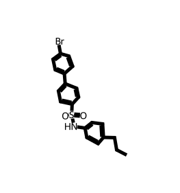 CCCc1ccc(NS(=O)(=O)c2ccc(-c3ccc(Br)cc3)cc2)cc1